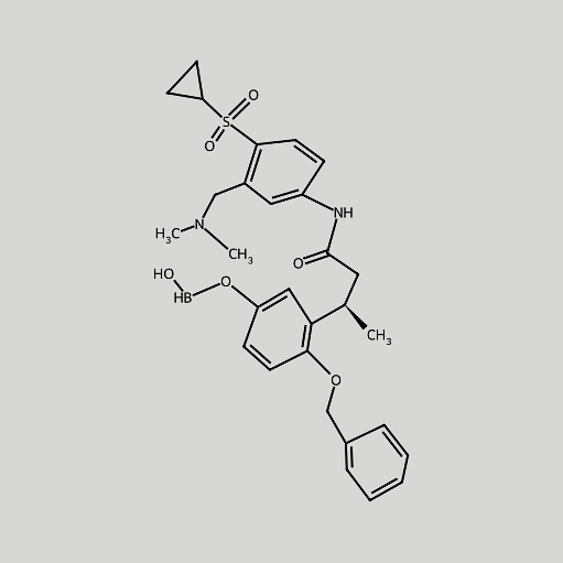 C[C@H](CC(=O)Nc1ccc(S(=O)(=O)C2CC2)c(CN(C)C)c1)c1cc(OBO)ccc1OCc1ccccc1